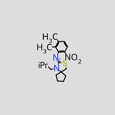 Cc1ccc([N+](=O)[O-])c(/N=C2\SCC3(CCCC3)N2CC(C)C)c1C